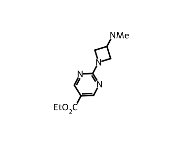 CCOC(=O)c1cnc(N2CC(NC)C2)nc1